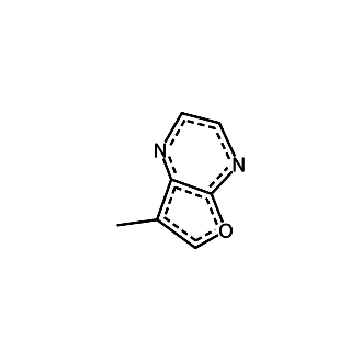 Cc1coc2nccnc12